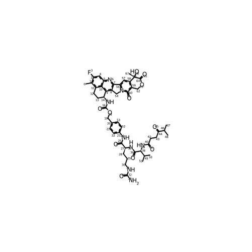 Cc1c(F)cc2nc3c(c4c2c1CC[C@@H]4NC(=O)OCc1ccc(NC(=O)[C@H](CCCNC(N)=O)NC(=O)[C@@H](NC(=O)CCC(=O)C(C)C)C(C)C)cc1)Cn1c-3cc2c(c1=O)COC(=O)[C@@]2(C)O